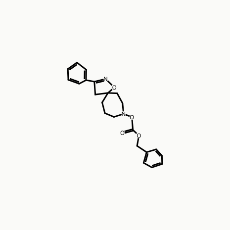 O=C(OCc1ccccc1)ON1CCCC2(CC1)CC(c1ccccc1)=NO2